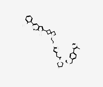 Cc1ncsc1-c1ccc([C@H](C)NC(=O)[C@@H]2C[C@@H](O)CN2C(=O)[C@@H](c2cc(OCCN3CCC34CC(c3cc5cc(-c6ccccc6O)nnc5[nH]3)C4)no2)C(C)C)cc1